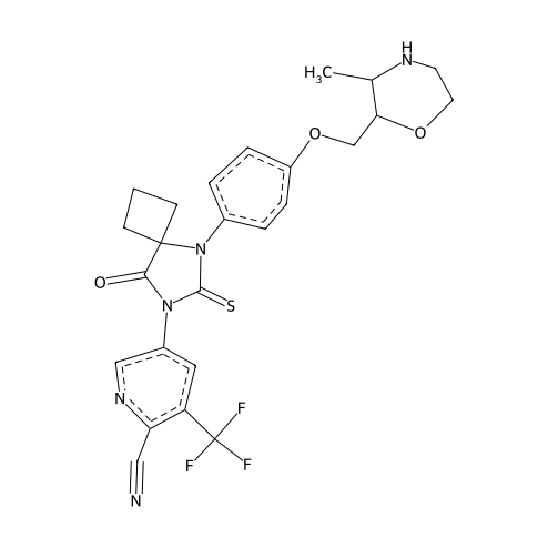 CC1NCCOC1COc1ccc(N2C(=S)N(c3cnc(C#N)c(C(F)(F)F)c3)C(=O)C23CCC3)cc1